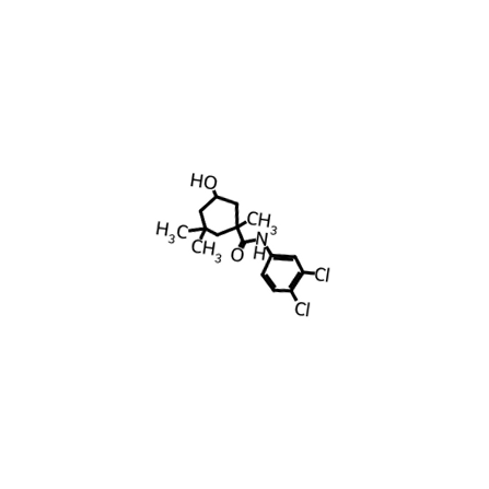 CC1(C)CC(O)CC(C)(C(=O)Nc2ccc(Cl)c(Cl)c2)C1